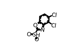 O=[SH](=O)c1nc2c(Cl)c(Cl)ccc2o1